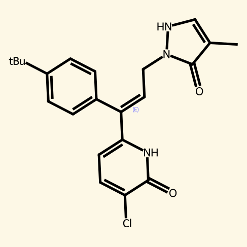 Cc1c[nH]n(C/C=C(\c2ccc(C(C)(C)C)cc2)c2ccc(Cl)c(=O)[nH]2)c1=O